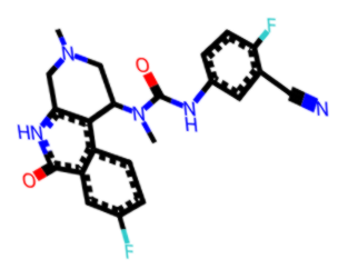 CN1Cc2[nH]c(=O)c3cc(F)ccc3c2C(N(C)C(=O)Nc2ccc(F)c(C#N)c2)C1